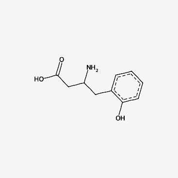 NC(CC(=O)O)Cc1ccccc1O